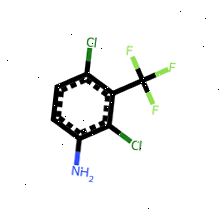 Nc1ccc(Cl)c(C(F)(F)F)c1Cl